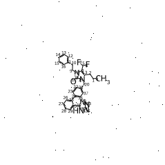 CCCc1c(C(F)F)n(CCc2ccccc2)c(=O)n1Cc1ccc(-c2ccccc2-c2nnn[nH]2)cc1